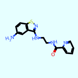 Nc1ccc2snc(NCCNC(=O)c3ccccn3)c2c1